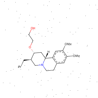 COc1cc2c(cc1OC)[C@H]1C[C@@H](OCCO)[C@H](CC(C)C)CN1CC2